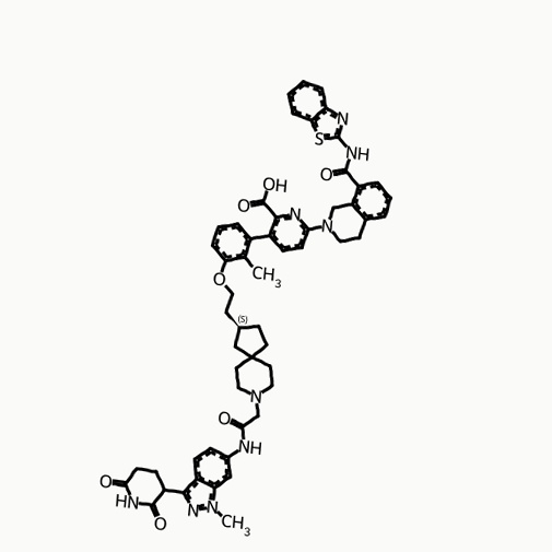 Cc1c(OCC[C@H]2CCC3(CCN(CC(=O)Nc4ccc5c(C6CCC(=O)NC6=O)nn(C)c5c4)CC3)C2)cccc1-c1ccc(N2CCc3cccc(C(=O)Nc4nc5ccccc5s4)c3C2)nc1C(=O)O